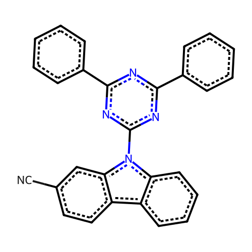 N#Cc1ccc2c3ccccc3n(-c3nc(-c4ccccc4)nc(-c4ccccc4)n3)c2c1